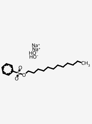 CCCCCCCCCCCCOS(=O)(=O)c1ccccc1.[Na+].[Na+].[OH-].[OH-]